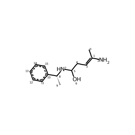 C/C(N)=C\CC(O)N[C@H](C)c1ccccc1